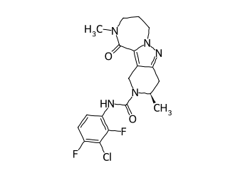 C[C@@H]1Cc2nn3c(c2CN1C(=O)Nc1ccc(F)c(Cl)c1F)C(=O)N(C)CCC3